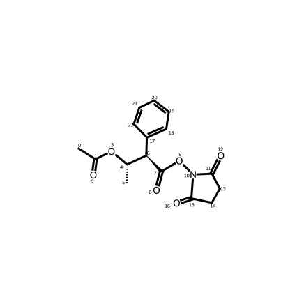 CC(=O)O[C@@H](C)[C@H](C(=O)ON1C(=O)CCC1=O)c1ccccc1